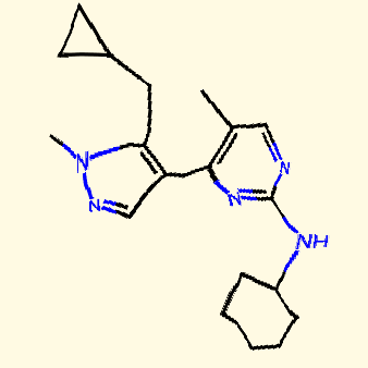 Cc1cnc(NC2CCCCC2)nc1-c1cnn(C)c1CC1CC1